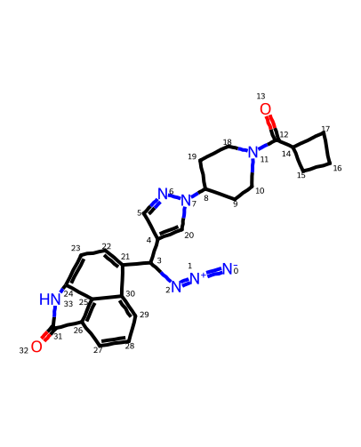 [N-]=[N+]=NC(c1cnn(C2CCN(C(=O)C3CCC3)CC2)c1)c1ccc2c3c(cccc13)C(=O)N2